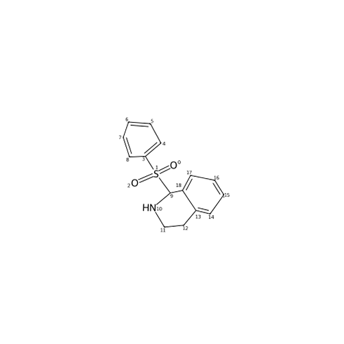 O=S(=O)(c1ccccc1)C1NCCc2c[c]ccc21